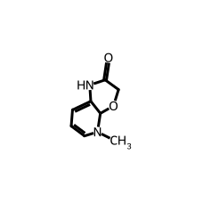 CN1C=CC=C2NC(=O)COC21